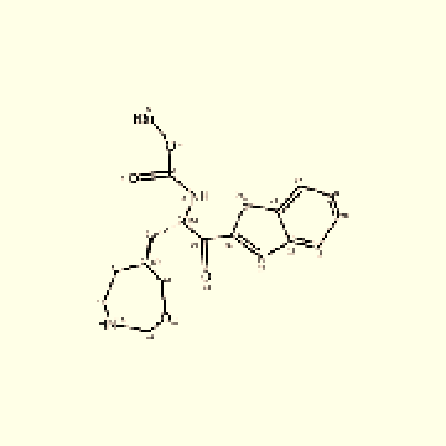 CC(C)(C)OC(=O)N[C@@H](C[C@@H]1CCNCOC1)C(=O)c1nc2ccccc2s1